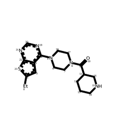 CCc1cc2c(N3CCN(C(=O)C4CCCNC4)CC3)ncnc2s1